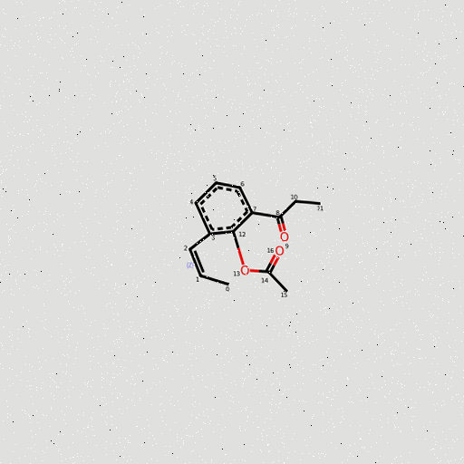 C/C=C\c1cccc(C(=O)CC)c1OC(C)=O